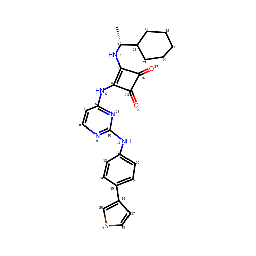 C[C@@H](Nc1c(Nc2ccnc(Nc3ccc(-c4ccsc4)cc3)n2)c(=O)c1=O)C1CCCCC1